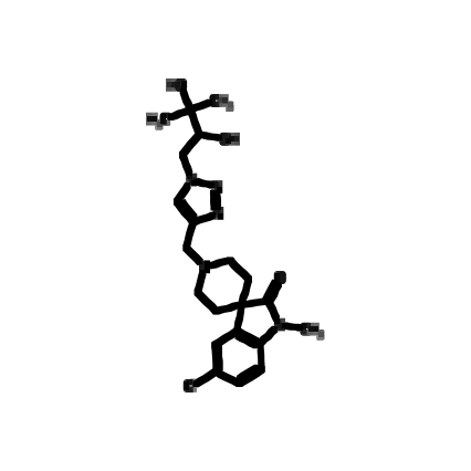 CN1C(=O)C2(CCN(Cc3cn(CC(O)C(C)(C)O)nn3)CC2)c2cc(Cl)ccc21